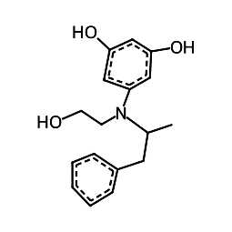 CC(Cc1ccccc1)N(CCO)c1cc(O)cc(O)c1